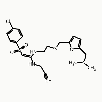 C#CCNC(=CS(=O)(=O)c1ccc(Cl)cc1)NCCSCc1ccc(CN(C)C)o1